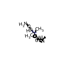 CC/C=C(\C=C\NCCOCCN)c1cc(NC(=O)c2ccnc(C3CC3)c2)ccc1C